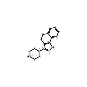 c1ccc2c(c1)CCc1c(N3CCNCC3)n[nH]c1-2